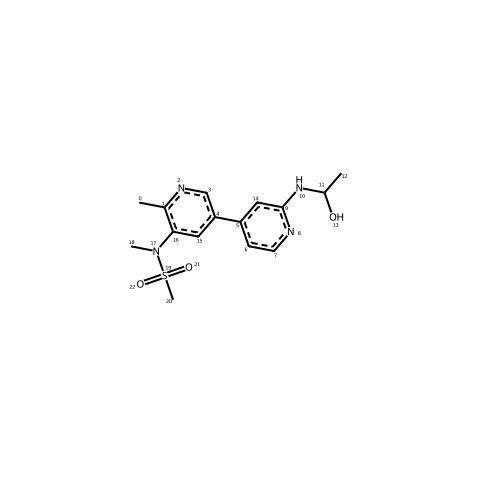 Cc1ncc(-c2ccnc(NC(C)O)c2)cc1N(C)S(C)(=O)=O